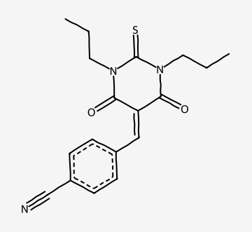 CCCN1C(=O)C(=Cc2ccc(C#N)cc2)C(=O)N(CCC)C1=S